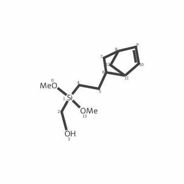 CO[Si](CO)(CCC1CC2C=CC1C2)OC